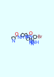 Cn1c(C(=O)Nc2ccc(Br)cc2-c2nnn[nH]2)cc2ccc(NC(=O)c3cccnc3)cc21